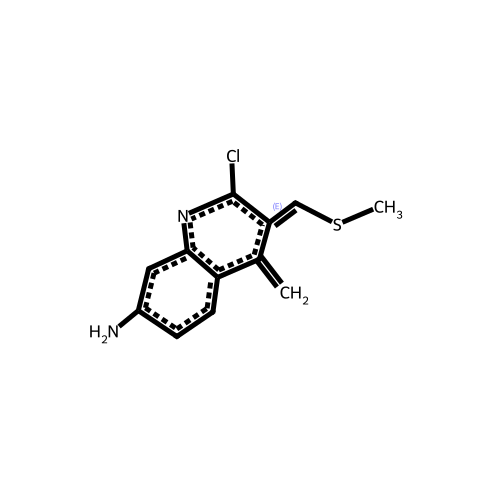 C=c1/c(=C\SC)c(Cl)nc2cc(N)ccc12